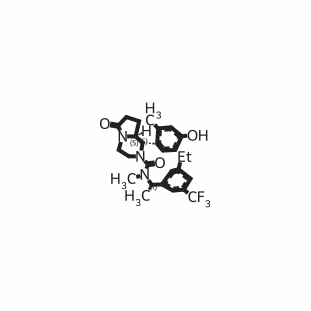 CCc1cc([C@@H](C)N(C)C(=O)N2CCN3C(=O)CC[C@H]3[C@@H]2c2ccc(O)cc2C)cc(C(F)(F)F)c1